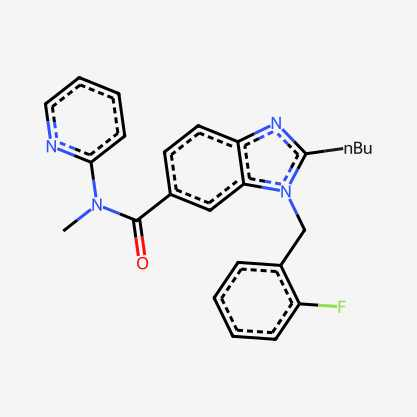 CCCCc1nc2ccc(C(=O)N(C)c3ccccn3)cc2n1Cc1ccccc1F